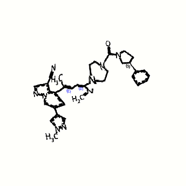 C=N/C(=C\C=C(/C)c1cc(-c2cnn(C)c2)cn2ncc(C#N)c12)N1CCN(C(=O)N2CC[C@@H](c3ccccc3)C2)CC1